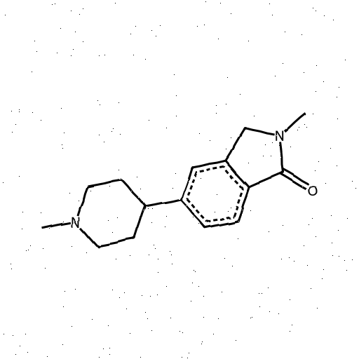 CN1CCC(c2ccc3c(c2)CN(C)C3=O)CC1